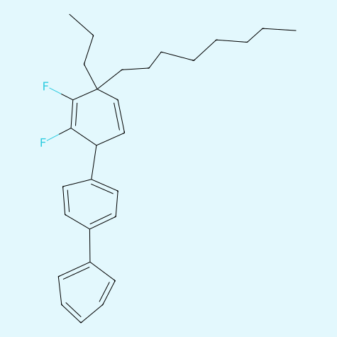 CCCCCCCCC1(CCC)C=CC(c2ccc(-c3ccccc3)cc2)C(F)=C1F